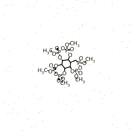 COP1(=O)CC2C3OP(=O)(OC)OP(=O)(OC)OC3C3OP(=O)(OC)OP(=O)(OC)OC3C2OP(=O)(OC)O1